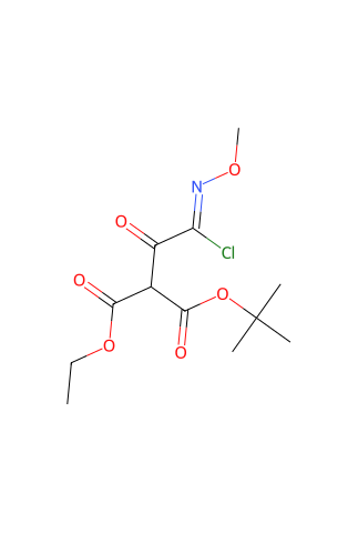 CCOC(=O)C(C(=O)OC(C)(C)C)C(=O)C(Cl)=NOC